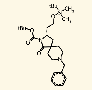 CC(C)(C)OC(=O)N1C(=O)C2(CCN(Cc3ccccc3)CC2)C[C@H]1CCO[Si](C)(C)C(C)(C)C